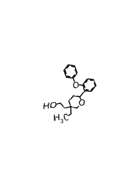 CCC1(CCO)CCC(c2ccccc2Oc2ccccc2)OC1